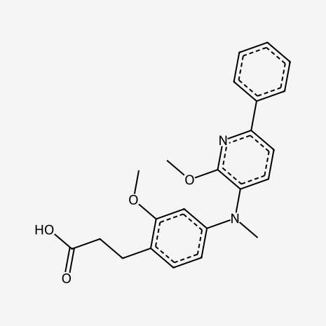 COc1cc(N(C)c2ccc(-c3ccccc3)nc2OC)ccc1CCC(=O)O